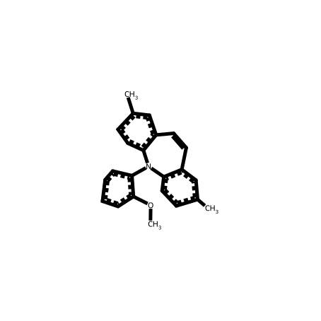 COc1ccccc1N1c2ccc(C)cc2C=Cc2cc(C)ccc21